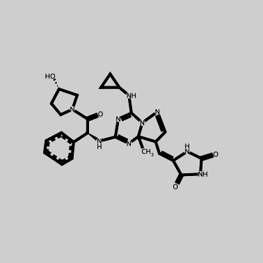 CC12N=C(N[C@H](C(=O)N3CC[C@H](O)C3)c3ccccc3)N=C(NC3CC3)N1N=CC2/C=C1\NC(=O)NC1=O